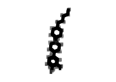 CCCCCC1CCC([SiH]2CCC(c3ccc(F)c(F)c3)CC2)CC1